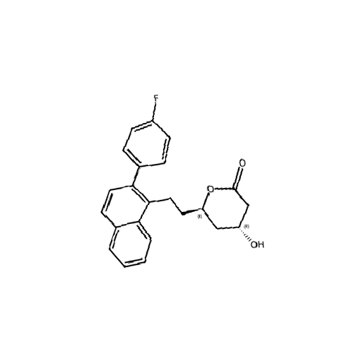 O=C1C[C@H](O)C[C@@H](CCc2c(-c3ccc(F)cc3)ccc3ccccc23)O1